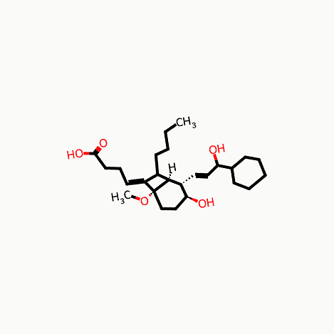 CCCCC1C(=CCCC(=O)O)[C@]2(OC)CC[C@H](O)[C@@H](/C=C/C(O)C3CCCCC3)[C@H]12